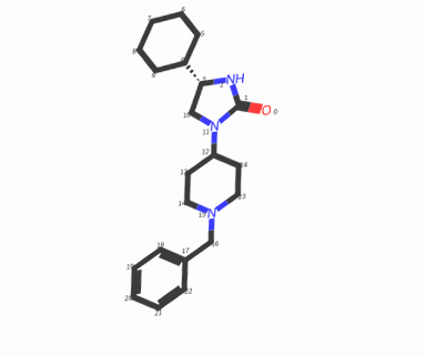 O=C1N[C@@H](C2CCCCC2)CN1C1CCN(Cc2ccccc2)CC1